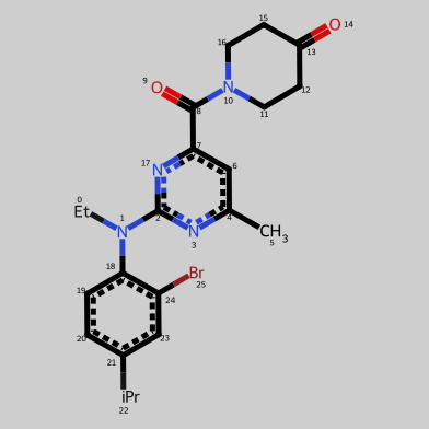 CCN(c1nc(C)cc(C(=O)N2CCC(=O)CC2)n1)c1ccc(C(C)C)cc1Br